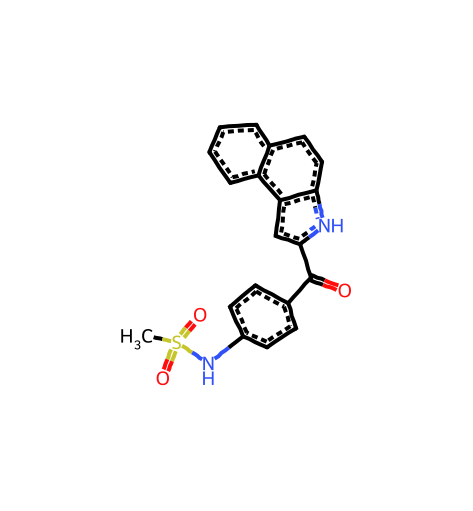 CS(=O)(=O)Nc1ccc(C(=O)c2cc3c(ccc4ccccc43)[nH]2)cc1